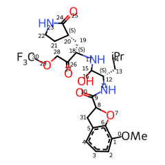 COc1cccc2c1OC(C(=O)N[C@@H](CC(C)C)C(O)N[C@@H](C[C@@H]1CCNC1=O)C(=O)COC(F)(F)F)C2